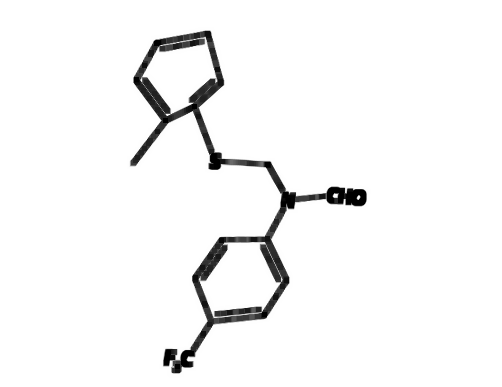 Cc1ccccc1SCN(C=O)c1ccc(C(F)(F)F)cc1